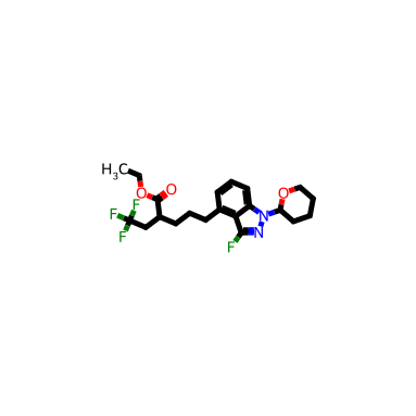 CCOC(=O)C(CCCc1cccc2c1c(F)nn2C1CCCCO1)CC(F)(F)F